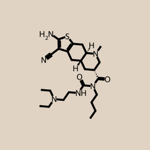 CCCCN(C(=O)NCCN(CC)CC)C(=O)[C@@H]1C[C@@H]2Cc3c(sc(N)c3C#N)C[C@H]2N(C)C1